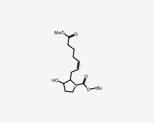 COC(=O)CCC/C=C\CC1C(O)CCN1C(=O)OC(C)(C)C